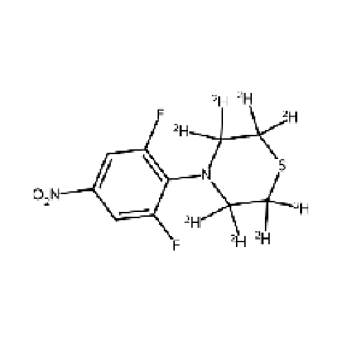 [2H]C1([2H])SC([2H])([2H])C([2H])([2H])N(c2c(F)cc([N+](=O)[O-])cc2F)C1([2H])[2H]